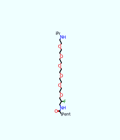 CCCC(C)C(=O)NCC(F)COCCOCCOCCOCCOCCOCCNC(C)C